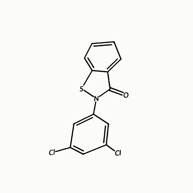 O=c1c2ccccc2sn1-c1cc(Cl)cc(Cl)c1